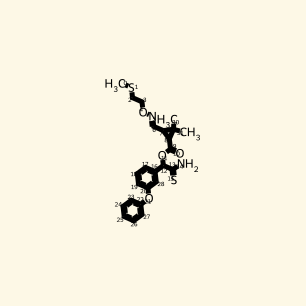 CSCCON=CC1C(C(=O)OC(C(N)=S)c2cccc(Oc3ccccc3)c2)C1(C)C